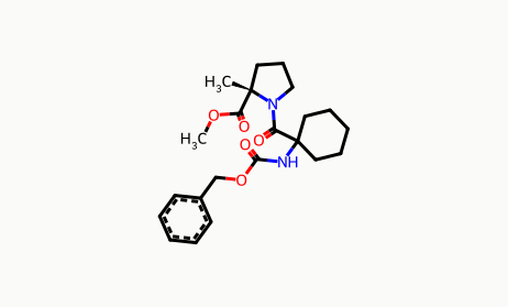 COC(=O)[C@]1(C)CCCN1C(=O)C1(NC(=O)OCc2ccccc2)CCCCC1